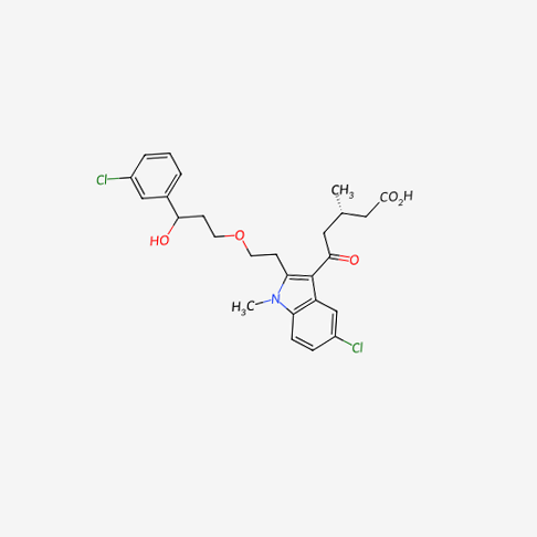 C[C@H](CC(=O)O)CC(=O)c1c(CCOCCC(O)c2cccc(Cl)c2)n(C)c2ccc(Cl)cc12